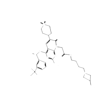 Cc1nc(N[C@H](C)c2cccc(C(C)(F)F)c2)c2cc(C3CCS(=O)(=O)CC3)c(=O)n(CC(=O)NCCCCN3CC(C)C3)c2n1